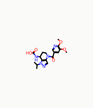 COc1cc(C(=O)N2CCC(NC(=O)O)c3c2cnn3C(C)C)cnc1OC